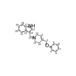 C1=C(COc2ccccc2)CCN(Cc2c[nH]c3ccccc23)C1